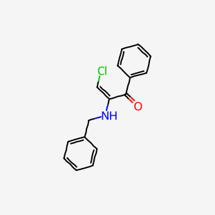 O=C(C(=CCl)NCc1ccccc1)c1ccccc1